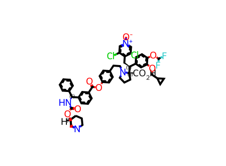 O=C(N[C@@H](c1ccccc1)c1cccc(C(=O)Oc2ccc(CCN3CCC[C@@]3(C(=O)O)[C@@H](Cc3c(Cl)c[n+]([O-])cc3Cl)c3ccc(OC(F)F)c(OCC4CC4)c3)cc2)c1)O[C@H]1CN2CCC1CC2